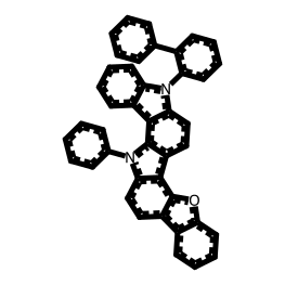 c1ccc(-c2ccccc2-n2c3ccccc3c3c2ccc2c4c5oc6ccccc6c5ccc4n(-c4ccccc4)c23)cc1